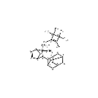 CC1(C(=O)O)C2C=CC(C2)C1C1C2CC3CC(C2)CC1C3.FC1=C(F)C(F)(F)C1(F)F